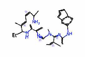 C=C(/N=C(\C(C)=C/C)N(C)/C=N\C(=C)C(=C)NC(CC)/C(C)=C/C=C\C(C)N)Nc1ccc2c(c1)C=CC2